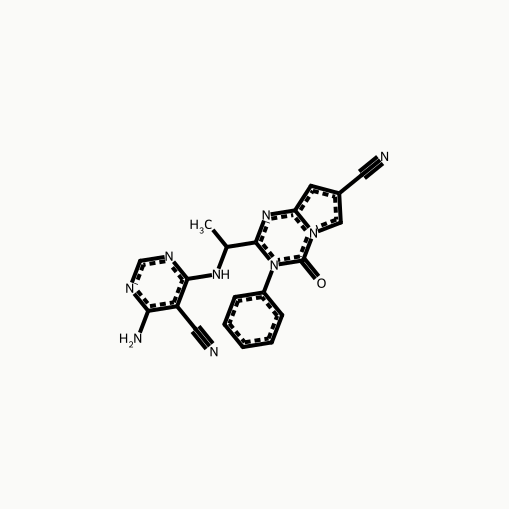 CC(Nc1ncnc(N)c1C#N)c1nc2cc(C#N)cn2c(=O)n1-c1ccccc1